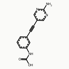 Nc1ncc(C#Cc2cccc(NC(=O)O)c2)cn1